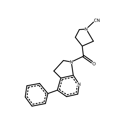 N#CN1CCC(C(=O)N2CCc3c(-c4ccccc4)ccnc32)C1